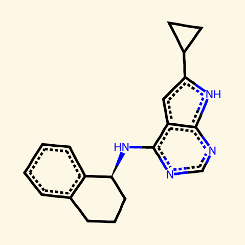 c1ccc2c(c1)CCC[C@@H]2Nc1ncnc2[nH]c(C3CC3)cc12